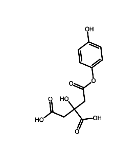 O=C(O)CC(O)(CC(=O)Oc1ccc(O)cc1)C(=O)O